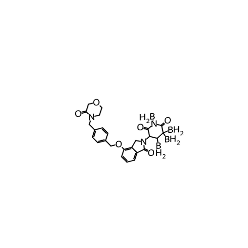 BC1C(N2Cc3c(OCc4ccc(CN5CCOCC5=O)cc4)cccc3C2=O)C(=O)N(B)C(=O)C1(B)B